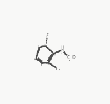 O=CNC1=C(F)C=CC[C@@H]1F